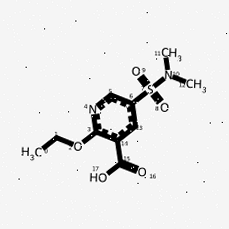 CCOc1ncc(S(=O)(=O)N(C)C)cc1C(=O)O